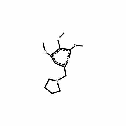 COc1cc(CN2CCCC2)cc(OC)c1OC